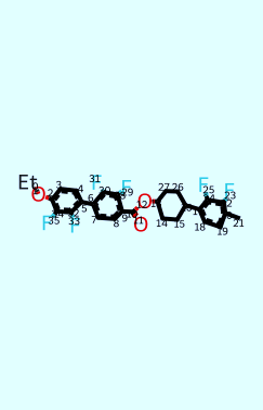 CCOc1ccc(-c2ccc(C(=O)OC3CCC(c4ccc(C)c(F)c4F)CC3)c(F)c2F)c(F)c1F